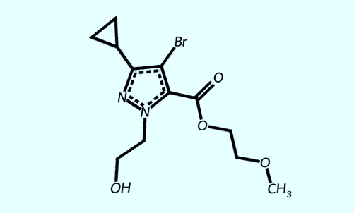 COCCOC(=O)c1c(Br)c(C2CC2)nn1CCO